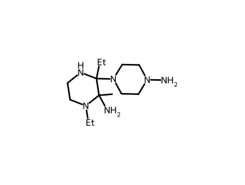 CCN1CCNC(CC)(N2CCN(N)CC2)C1(C)N